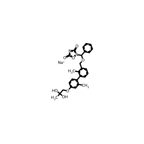 Cc1cc(OCC(C)(O)O)ccc1-c1cccc(COC(c2ccccc2)n2oc(=O)[n-]c2=O)c1C.[Na+]